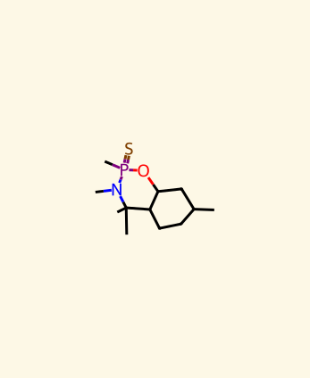 CC1CCC2C(C1)OP(C)(=S)N(C)C2(C)C